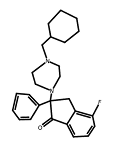 O=C1c2cccc(F)c2CC1(c1ccccc1)N1CCN(CC2CCCCC2)CC1